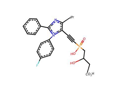 CC(C)c1nc(-c2ccccc2)n(-c2ccc(F)cc2)c1C#CP(=O)(O)CC(O)CC(=O)O